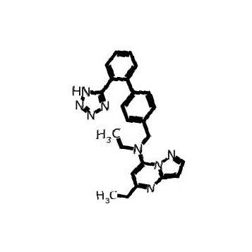 CCc1cc(N(CC)Cc2ccc(-c3ccccc3-c3nnn[nH]3)cc2)n2nccc2n1